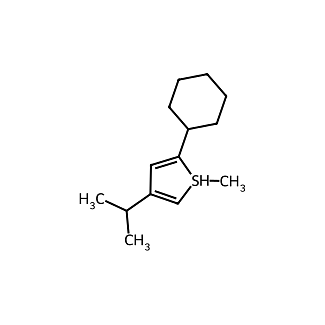 CC(C)C1=C[SH](C)C(C2CCCCC2)=C1